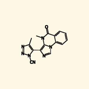 Cc1nnn(C#N)c1-c1ncn2c3ccccc3c(=O)n(C)c12